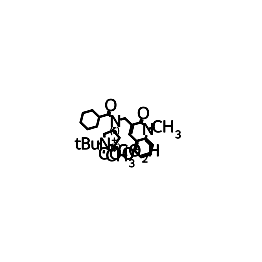 Cn1c(=O)c(CN(C(=O)C2CCCCC2)[C@H]2C[C@@](C)(C(=O)O)[N+](C(=O)[O-])(C(C)(C)C)C2)cc2ccccc21